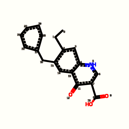 CCc1cc2[nH]cc(C(=O)O)c(=O)c2cc1Cc1ccccc1